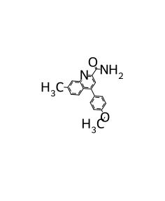 COc1ccc(-c2cc(C(N)=O)nc3cc(C)ccc23)cc1